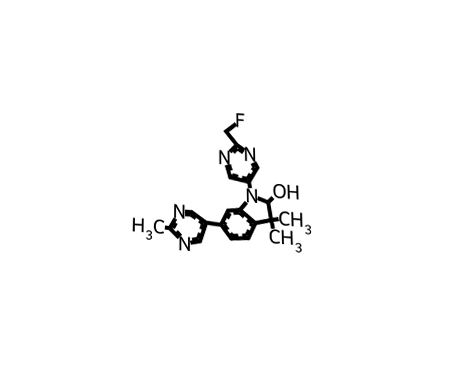 Cc1ncc(-c2ccc3c(c2)N(c2cnc(CF)nc2)C(O)C3(C)C)cn1